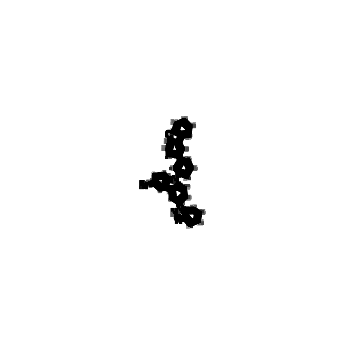 Brc1ccc2c(c1)c1cc(-n3nnc4ccccc43)ccc1n2-c1cccc(-c2ccc3oc4ccccc4c3c2)c1